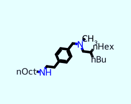 CCCCCCCCNCCc1ccc(CN(C)CC(CCCC)CCCCCC)cc1